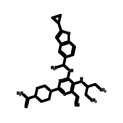 CCC(CC)Nc1c(C=N)nc(N2CCN(C(C)=O)CC2)nc1NC(C)c1ccc2oc(C3CC3)cc2c1